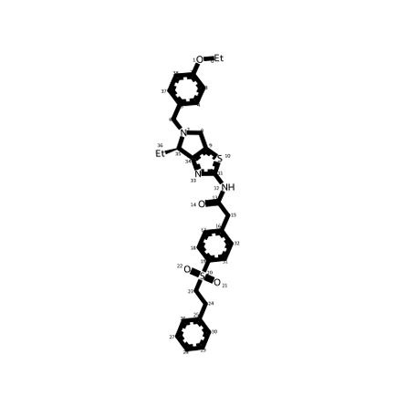 CCOc1ccc(CN2Cc3sc(NC(=O)Cc4ccc(S(=O)(=O)CCc5ccccc5)cc4)nc3[C@H]2CC)cc1